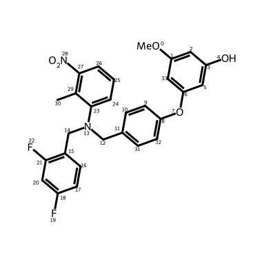 COc1cc(O)cc(Oc2ccc(CN(Cc3ccc(F)cc3F)c3cccc([N+](=O)[O-])c3C)cc2)c1